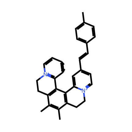 Cc1ccc(/C=C/c2cc[n+]3c(c2)-c2c(c(C)c(C)c4c2-c2c5ccccc5cc[n+]2CC4)CC3)cc1